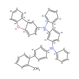 Cc1ccccc1-c1ccc(N(c2ccccc2)c2ccc3c4ccccc4n(-c4ccc5oc6ccccc6c5c4)c3c2)cc1